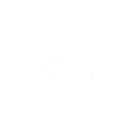 O=[SH](=O)Cc1ccc(CF)cc1